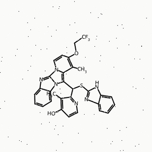 Cc1c(O)ccnc1C(Sc1nc2ccccc2[nH]1)c1c2c(C)c(OCC(F)(F)F)ccn2c2nc3ccccc3n12